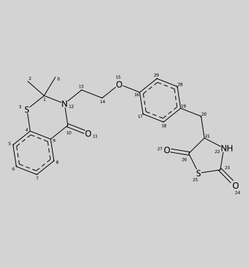 CC1(C)Sc2ccccc2C(=O)N1CCOc1ccc(CC2NC(=O)SC2=O)cc1